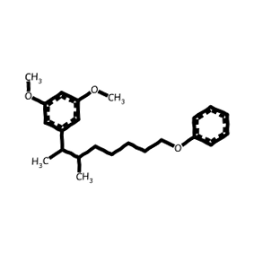 COc1cc(OC)cc(C(C)C(C)CCCCCOc2ccccc2)c1